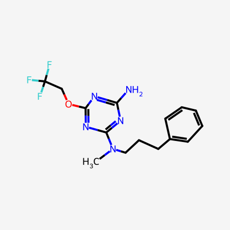 CN(CCCc1ccccc1)c1nc(N)nc(OCC(F)(F)F)n1